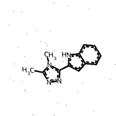 Cc1nnc(-c2cc3ccccc3[nH]2)n1C